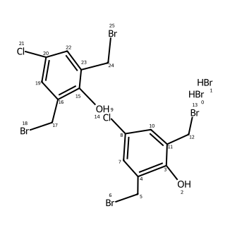 Br.Br.Oc1c(CBr)cc(Cl)cc1CBr.Oc1c(CBr)cc(Cl)cc1CBr